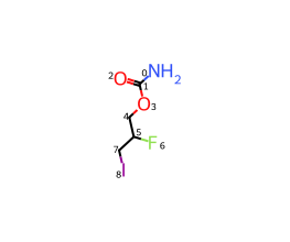 NC(=O)OCC(F)CI